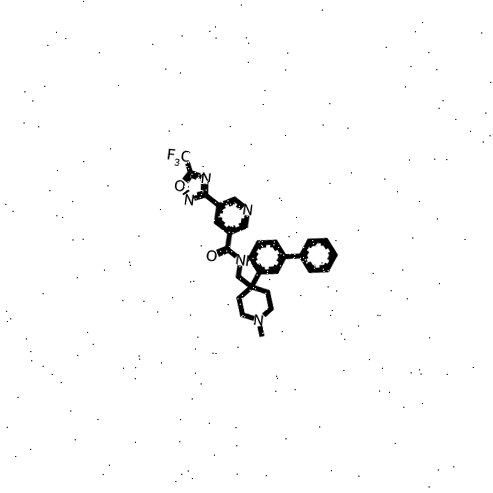 CN1CCC(CNC(=O)c2cncc(-c3noc(C(F)(F)F)n3)c2)(c2cccc(-c3ccccc3)c2)CC1